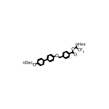 CCCCCCCCCCOc1ccc(-c2ccc(OCc3ccc(C(=O)OC(CCCCCC)C(F)(F)F)cc3)cc2)cc1